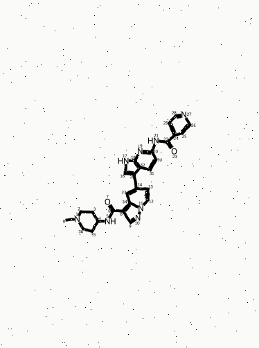 CN1CCC(NC(=O)c2cnn3ccc(-c4c[nH]c5nc(NC(=O)c6ccncc6)ccc45)cc23)CC1